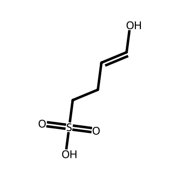 O=S(=O)(O)CC/C=C/O